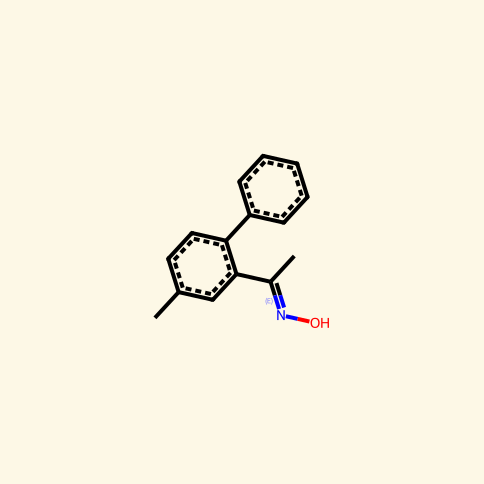 C/C(=N\O)c1cc(C)ccc1-c1ccccc1